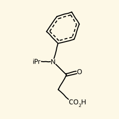 CC(C)N(C(=O)CC(=O)O)c1ccccc1